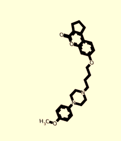 COc1ccc(N2CCN(CCCCOc3ccc4c5c(c(=O)oc4c3)CCC5)CC2)cc1